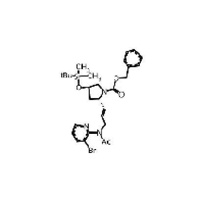 CC(=O)N(C/C=C/[C@@H]1C[C@@H](O[Si](C)(C)C(C)(C)C)CN1C(=O)OCc1ccccc1)c1ncccc1Br